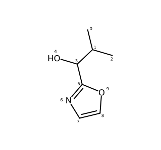 CC(C)C(O)c1ncco1